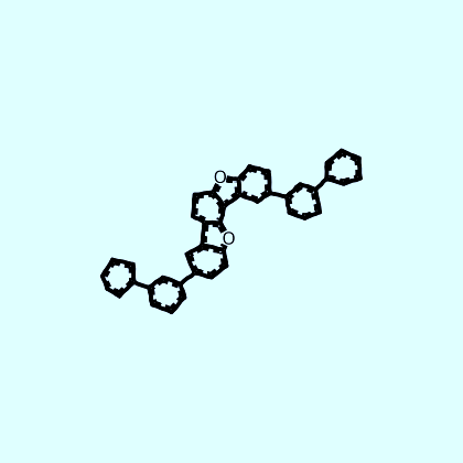 c1ccc(-c2cccc(-c3ccc4oc5c(ccc6oc7ccc(-c8cccc(-c9ccccc9)c8)cc7c65)c4c3)c2)cc1